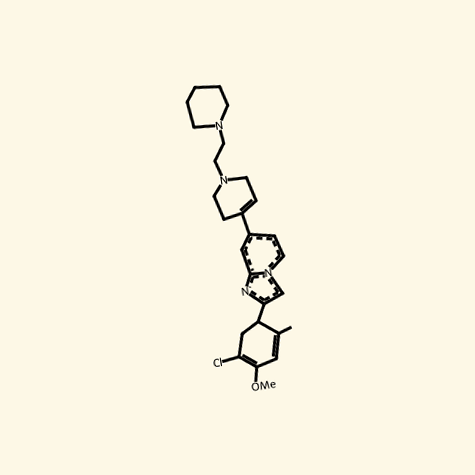 COC1=C(Cl)CC(c2cn3ccc(C4=CCN(CCN5CCCCC5)CC4)cc3n2)C(C)=C1